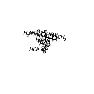 Cc1ccc(-c2cc(-c3cccc(NC(=O)CCN)c3)c(C#N)c(NC(=O)c3cccs3)n2)c(O)c1.Cl